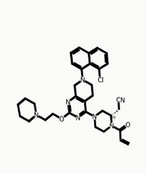 C=CC(=O)N1CCN(c2nc(OCCN3CCCCC3)nc3c2CCN(c2cccc4cccc(Cl)c24)C3)C[C@@H]1CC#N